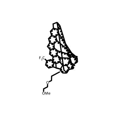 COCCOCCN1CC2C3=c4c5c6c7c(cc8cc9cc%10cc%11cc%12c%13c(c4c4c5c5c7c8c7c9c%10c8c%11c%13c4c8c75)=C(C3)C%12)CC62C1c1ccc(C(F)(F)F)cc1